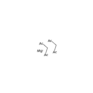 CC(=O)CC(C)=O.CC(=O)CC(C)=O.[Mg]